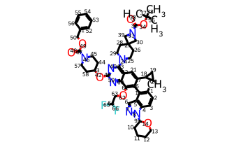 Cc1ccc2c(cnn2C2CCCCO2)c1-c1c(C2CC2)cc2c(N3CCC4(CC3)CN(C(=O)OC(C)(C)C)C4)nc(OC3CCN(C(=O)OCc4ccccc4)CC3)nc2c1OCC(F)F